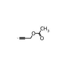 [C]#CCOC(C)=O